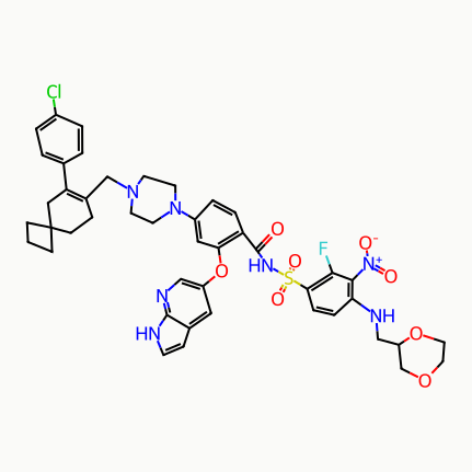 O=C(NS(=O)(=O)c1ccc(NCC2COCCO2)c([N+](=O)[O-])c1F)c1ccc(N2CCN(CC3=C(c4ccc(Cl)cc4)CC4(CCC4)CC3)CC2)cc1Oc1cnc2[nH]ccc2c1